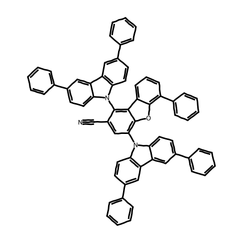 N#Cc1cc(-n2c3ccc(-c4ccccc4)cc3c3cc(-c4ccccc4)ccc32)c2oc3c(-c4ccccc4)cccc3c2c1-n1c2ccc(-c3ccccc3)cc2c2cc(-c3ccccc3)ccc21